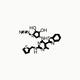 Cc1nc(NCc2cccs2)nc(N[C@@H]2C[C@H](CN=[N+]=[N-])[C@@H](O)[C@H]2O)c1-c1nc2ccccc2s1